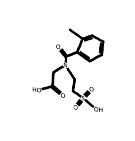 Cc1ccccc1C(=O)N(CCS(=O)(=O)O)CC(=O)O